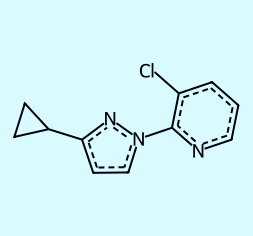 Clc1cccnc1-n1ccc(C2CC2)n1